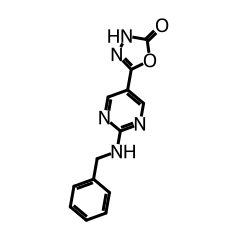 O=c1[nH]nc(-c2cnc(NCc3ccccc3)nc2)o1